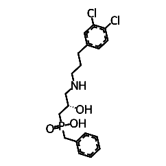 O=P(O)(Cc1ccccc1)C[C@@H](O)CNCCCc1ccc(Cl)c(Cl)c1